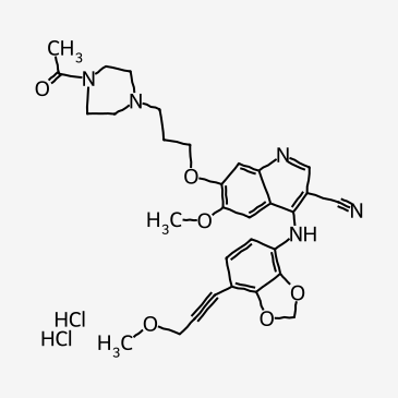 COCC#Cc1ccc(Nc2c(C#N)cnc3cc(OCCCN4CCN(C(C)=O)CC4)c(OC)cc23)c2c1OCO2.Cl.Cl